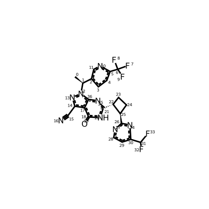 C[C@@H](c1ccc(C(F)(F)F)nc1)n1nc(C#N)c2c(=O)[nH]c([C@@H]3CC[C@H]3c3nccc(C(F)F)n3)nc21